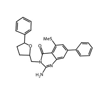 CSc1cc(-c2ccccc2)cc2nc(N)n(CC3CCC(c4ccccc4)O3)c(=O)c12